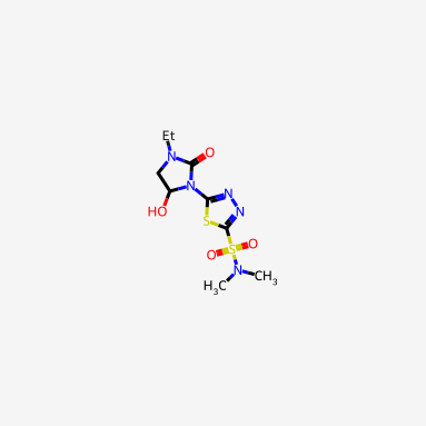 CCN1CC(O)N(c2nnc(S(=O)(=O)N(C)C)s2)C1=O